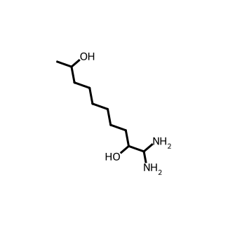 CC(O)CCCCCCC(O)C(N)N